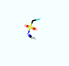 C=NS(=O)(=O)CF